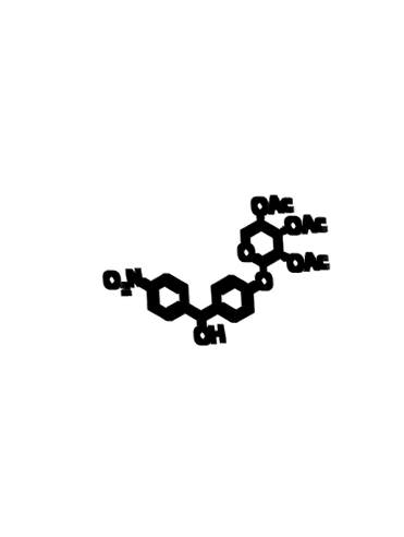 CC(=O)O[C@@H]1[C@@H](OC(C)=O)[C@H](Oc2ccc(C(O)c3ccc([N+](=O)[O-])cc3)cc2)OC[C@H]1OC(C)=O